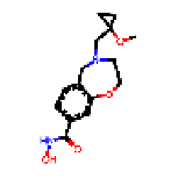 COC1(CN2CCOc3cc(C(=O)NO)ccc3C2)CC1